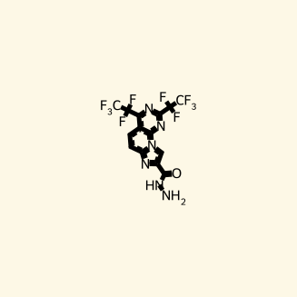 NNC(=O)c1cn2c(ccc3c(C(F)(F)C(F)(F)F)nc(C(F)(F)C(F)(F)F)nc32)n1